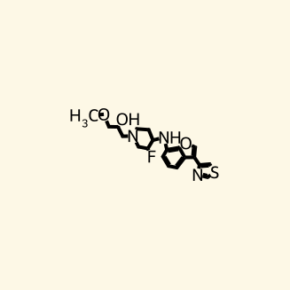 COCC(O)CN1CCC(Nc2cccc3c(-c4cscn4)coc23)C(F)C1